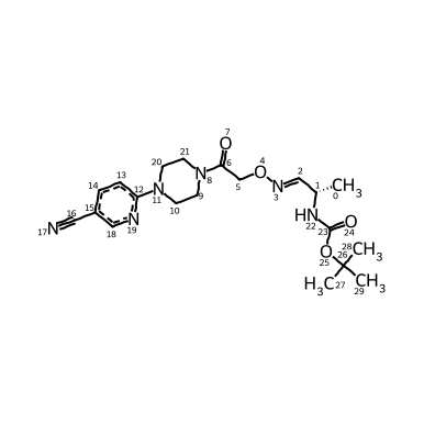 C[C@@H](/C=N/OCC(=O)N1CCN(c2ccc(C#N)cn2)CC1)NC(=O)OC(C)(C)C